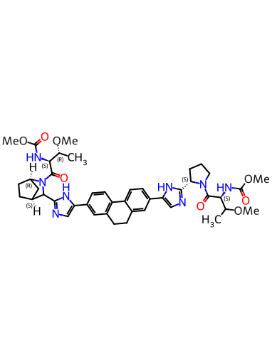 COC(=O)N[C@H](C(=O)N1CCC[C@H]1c1ncc(-c2ccc3c(c2)CCc2cc(-c4cnc(C5[C@H]6CC[C@H](C6)N5C(=O)[C@@H](NC(=O)OC)[C@@H](C)OC)[nH]4)ccc2-3)[nH]1)C(C)OC